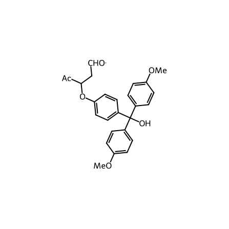 COc1ccc(C(O)(c2ccc(OC)cc2)c2ccc(OC(C[C]=O)C(C)=O)cc2)cc1